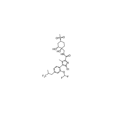 CCn1nc(C(=O)NC[C@@]2(O)CC[C@H](S(C)(=O)=O)C[C@@H]2O)c(C)c1-c1ccc(CC(C)C(F)(F)F)cc1OC(F)F